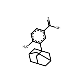 Cc1ccc(C(=O)O)cc1C12CC3CC(CC(C3)C1)C2